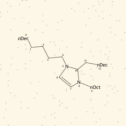 CCCCCCCCCCCCCCN1C=CN(CCCCCCCC)C1CCCCCCCCCCC